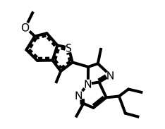 CCC(CC)C1=CC(C)=NN2C1=NC(C)C2c1sc2cc(OC)ccc2c1C